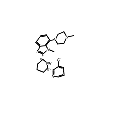 CN1CCN(c2cccc3nc([C@H]4CCC[C@@H](c5ncccc5Cl)N4)n(C)c23)CC1